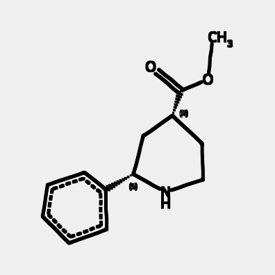 COC(=O)[C@@H]1CCN[C@H](c2ccccc2)C1